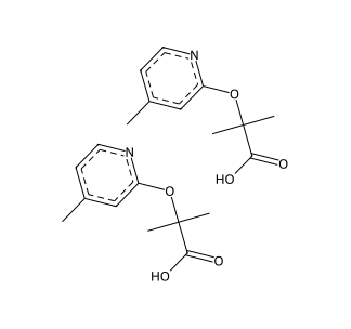 Cc1ccnc(OC(C)(C)C(=O)O)c1.Cc1ccnc(OC(C)(C)C(=O)O)c1